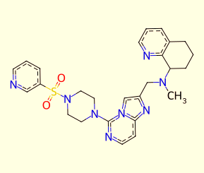 CN(Cc1cn2c(N3CCN(S(=O)(=O)c4cccnc4)CC3)nccc2n1)C1CCCc2cccnc21